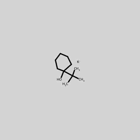 CC(C)(C)C1(O)CCCCC1.[K]